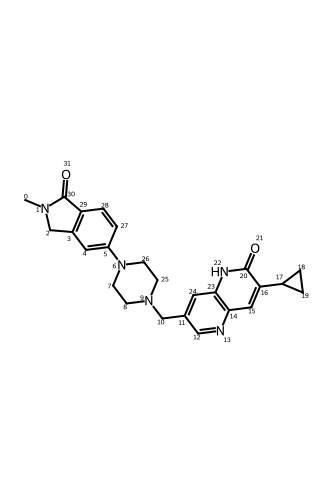 CN1Cc2cc(N3CCN(Cc4cnc5cc(C6CC6)c(=O)[nH]c5c4)CC3)ccc2C1=O